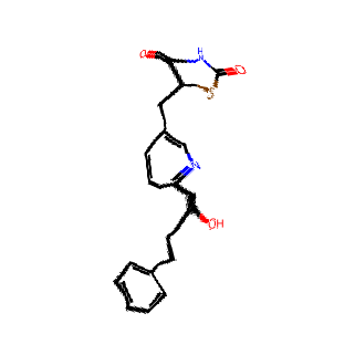 O=C1NC(=O)C(Cc2ccc(C(O)CCc3ccccc3)nc2)S1